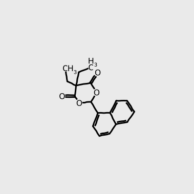 CCC1(CC)C(=O)OC(c2cccc3ccccc23)OC1=O